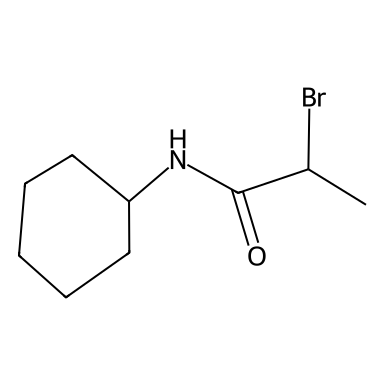 CC(Br)C(=O)NC1CCCCC1